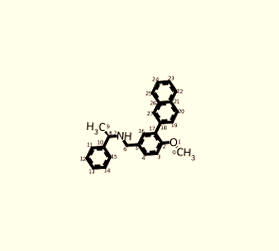 COc1ccc(CN[C@H](C)c2ccccc2)cc1-c1ccc2ccccc2c1